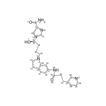 NC(=O)c1cn([C@H](O)CCCn2ccc3ccc(NC(=O)CCc4cccnc4)cc32)cn1